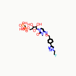 Cn1c(=O)n(C2OC(COP(=O)(O)CP(=O)(O)O)C(O)C2O)cc/c1=N/OCc1ccc(-c2cn(CCF)nn2)cc1